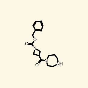 O=C(OCc1ccccc1)N1CC(C(=O)N2CCCNCC2)C1